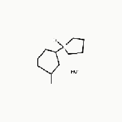 CC[N+]1(C2CCCC(C)C2)CCCC1.[OH-]